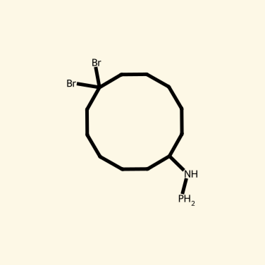 PNC1CCCCCC(Br)(Br)CCCCC1